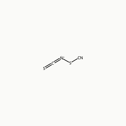 N#CS[N+]=C=S